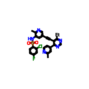 CCc1ncnc(-c2ccnc(C)c2)c1C#Cc1cnc(C)c(NS(=O)(=O)c2ccc(F)cc2Cl)c1